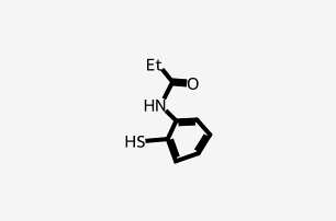 CCC(=O)Nc1ccccc1S